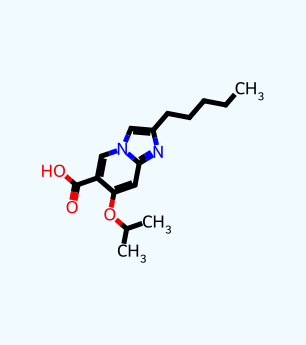 CCCCCc1cn2cc(C(=O)O)c(OC(C)C)cc2n1